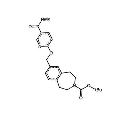 CNC(=O)c1ccc(OCc2ccc3c(c2)CCN(C(=O)OC(C)(C)C)CC3)nc1